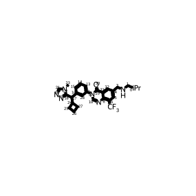 CC(C)CNCc1cc(C(F)(F)F)c2ncn(-c3cccc(C(c4nncn4C)C4CCC4)c3)c(=O)c2c1